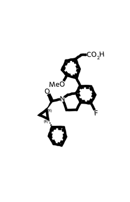 COc1ccc(CC(=O)O)cc1-c1ccc(F)c2c1CN(C(=O)[C@@H]1C[C@H]1c1ccccc1)CC2